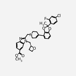 COC(=O)c1ccc2nc(CN3CC=C(c4cccc5c4OC(C)(c4ccc(Cl)cc4F)O5)CC3)n(C[C@@H]3CCO3)c2c1